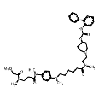 COCC(=O)N(C)CCC(=O)N(C)c1ccc(N(C)CCCCCC(=O)N(C)CCN2CCC(OC(=O)Nc3ccccc3-c3ccccc3)CC2)cc1